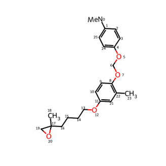 CNc1ccc(OCOc2ccc(OCCCCC3(C)CO3)cc2C)cc1